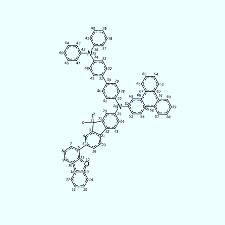 CC1(C)c2cc(-c3cccc4c3oc3ccccc34)ccc2-c2ccc(N(c3ccc(-c4ccc(N(c5ccccc5)c5ccccc5)cc4)cc3)c3ccc4c5ccccc5c5ccccc5c4c3)cc21